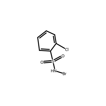 O=S(=O)(NBr)c1ccccc1Cl